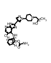 C[C@@H](O)CN1CCC(n2cc(-c3nc4c(N[C@H]5[C@@H](OC(N)=O)[C@@H]6C=C[C@H]5C6)c(Cl)cnc4[nH]3)cn2)CC1